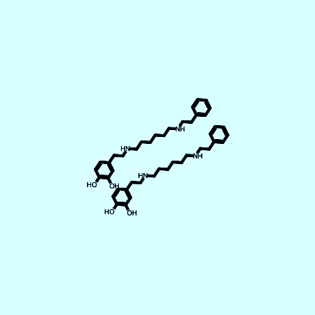 Oc1ccc(CCNCCCCCCNCCc2ccccc2)cc1O.Oc1ccc(CCNCCCCCCNCCc2ccccc2)cc1O